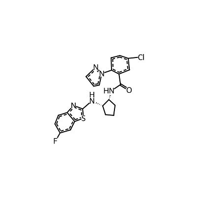 O=C(N[C@@H]1CCC[C@@H]1Nc1nc2ccc(F)cc2s1)c1cc(Cl)ccc1-n1cccn1